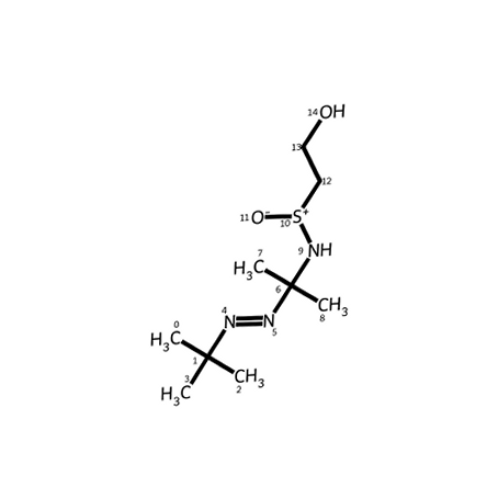 CC(C)(C)N=NC(C)(C)N[S+]([O-])CCO